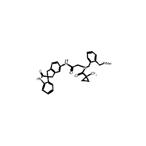 CNCc1ccccc1CN(CC(=O)Nc1ccc2c(c1)CC1(C2)C(=O)Nc2ccccc21)C(=O)C1(C(F)(F)F)CC1